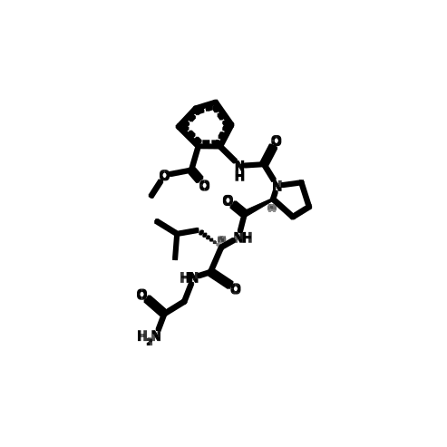 COC(=O)c1ccccc1NC(=O)N1CCC[C@H]1C(=O)N[C@@H](CC(C)C)C(=O)NCC(N)=O